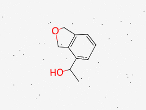 CC(O)c1cccc2c1COC2